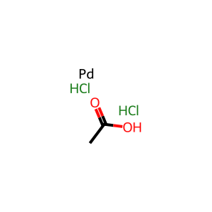 CC(=O)O.Cl.Cl.[Pd]